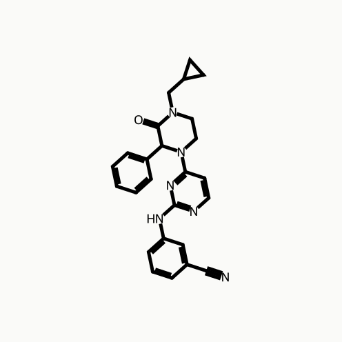 N#Cc1cccc(Nc2nccc(N3CCN(CC4CC4)C(=O)C3c3ccccc3)n2)c1